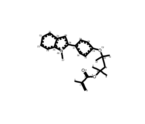 C=C(C)C(=O)OC(C)(C)CC(C)(C)Oc1ccc(-c2cc3ccccc3n2C)cc1